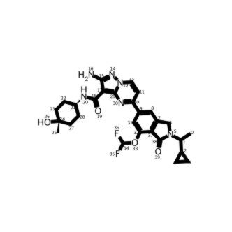 CC(C1CC1)N1Cc2cc(-c3ccn4nc(N)c(C(=O)N[C@H]5CC[C@@](C)(O)CC5)c4n3)cc(OC(F)F)c2C1=O